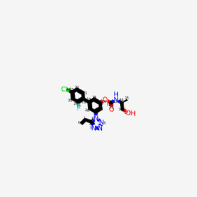 CCc1nnnn1-c1cc(OC(=O)N[C@@H](C)CO)cc(-c2ccc(Cl)cc2F)c1